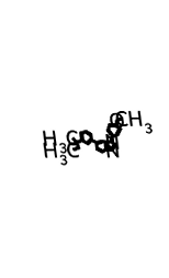 CCC(C)c1cccc(-c2ccc3ncn(-c4ccc(OC)cc4)c3c2)c1